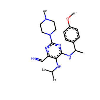 CCC(CC)Nc1c(C=N)nc(N2CCN(C(C)=O)CC2)nc1NC(C)c1ccc(OC(C)C)cc1